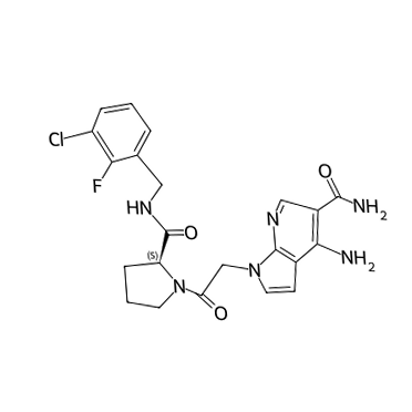 NC(=O)c1cnc2c(ccn2CC(=O)N2CCC[C@H]2C(=O)NCc2cccc(Cl)c2F)c1N